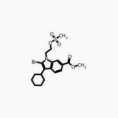 COC(=O)c1ccc2c(C3CCCCC3)c(Br)n(CCOS(C)(=O)=O)c2c1